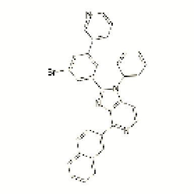 Brc1cc(-c2cccnc2)cc(-c2nc3c(-c4ccc5ccccc5c4)nccc3n2-c2ccccc2)c1